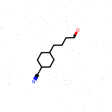 N#CC1CCC(CCCC=O)CC1